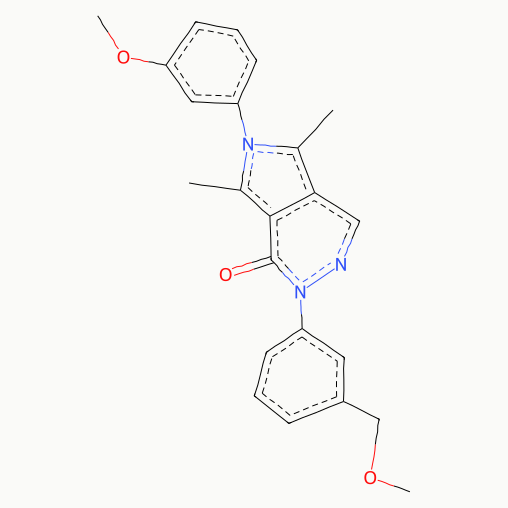 COCc1cccc(-n2ncc3c(C)n(-c4cccc(OC)c4)c(C)c3c2=O)c1